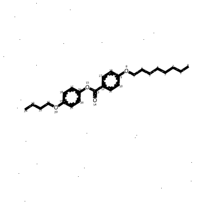 CCCCCCCCOc1ccc(C(=O)Oc2ccc(OCCCC)cc2)cc1